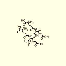 NC(CCC(=O)NC(CS)C(=O)NCC(=O)O)C(=O)O.NC(CCC(=O)NC(CS)C(=O)NCC(=O)O)C(=O)O.[Pd]